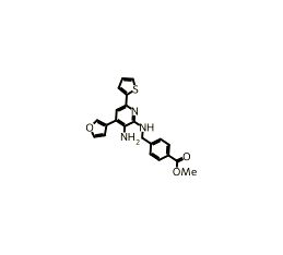 COC(=O)c1ccc(CNc2nc(-c3cccs3)cc(-c3ccoc3)c2N)cc1